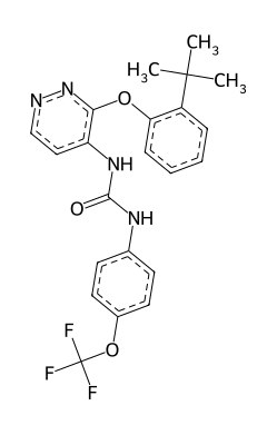 CC(C)(C)c1ccccc1Oc1nnccc1NC(=O)Nc1ccc(OC(F)(F)F)cc1